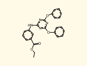 CCOC(=O)c1cccc(Nc2nc(Oc3ccccc3)nc(Oc3ccccc3)n2)c1